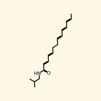 C/C=C/C=C/C=C/CC/C=C/C=C/C(=O)NCC(C)C